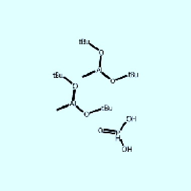 O=[PH](O)O.[CH3][Al]([O]C(C)(C)C)[O]C(C)(C)C.[CH3][Al]([O]C(C)(C)C)[O]C(C)(C)C